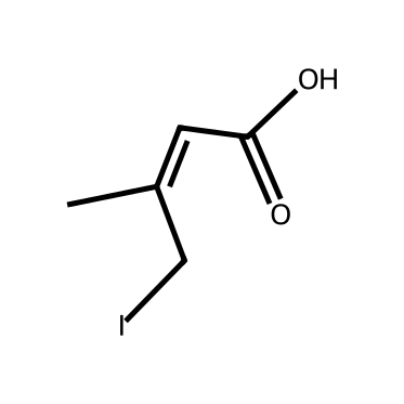 C/C(=C/C(=O)O)CI